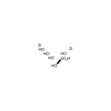 Cl.Cl.Cl.Cl.O=S(=O)(O)O.[Zr].[Zr]